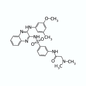 COc1cc(C)cc(Nc2nc3ccccc3nc2NS(=O)(=O)c2cccc(NC(=O)CN(C)C)c2)c1